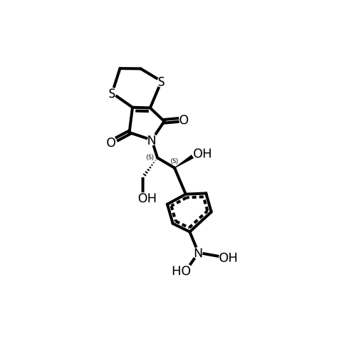 O=C1C2=C(SCCS2)C(=O)N1[C@@H](CO)[C@@H](O)c1ccc(N(O)O)cc1